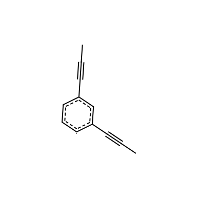 CC#Cc1[c]ccc(C#CC)c1